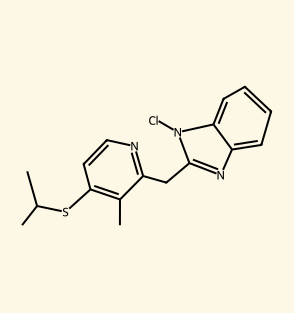 Cc1c(SC(C)C)ccnc1Cc1nc2ccccc2n1Cl